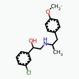 [CH2]Oc1ccc(CC(C)NCC(O)c2cccc(Cl)c2)cc1